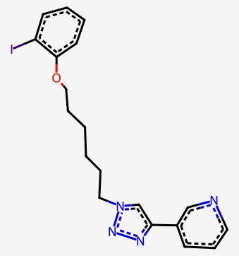 Ic1ccccc1OCCCCCCn1cc(-c2cccnc2)nn1